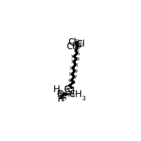 C[Si](C)(CCCCCCCCCCCCCCC[Si](Cl)(Cl)Cl)CCC(F)(F)F